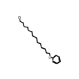 [O]CCCCCCCCCCCCCCOc1ccccc1